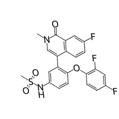 Cn1cc(-c2cc(NS(C)(=O)=O)ccc2Oc2ccc(F)cc2F)c2ccc(F)cc2c1=O